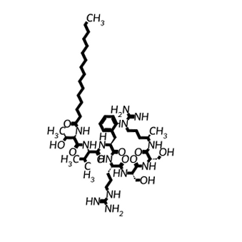 CCCCCCCCCCCCCCCC(=O)N[C@H](C(=O)N[C@H](C(=O)N[C@@H](Cc1ccccc1)C(=O)N[C@@H](CCCNC(=N)N)C(=O)N[C@@H](CO)C(=O)N[C@@H](CO)C(=O)N[C@H](C)CCCNC(=N)N)C(C)C)[C@@H](C)O